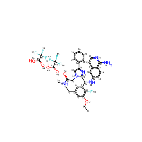 CCOc1cc(CC)cc(C(Nc2ccc3c(N)nccc3c2)c2nc(-c3ccccc3)cn2CC(=O)NC)c1F.O=C(O)C(F)(F)F.O=C(O)C(F)(F)F